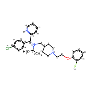 CC(C)N(CC1CCN(CCOc2ccccc2F)CC1)[C@H](c1ccc(Cl)cc1)c1ccccn1